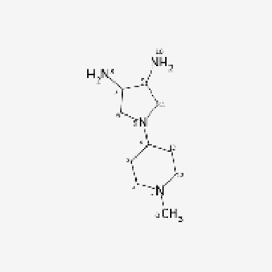 CN1CCC(N2CC(N)C(N)C2)CC1